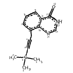 C[Si](C)(C)C#Cc1cccc2c(=O)[nH]cnc12